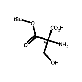 CC(C)(C)OC(=O)[C@](N)(CO)C(=O)O